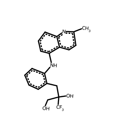 Cc1ccc2c(Nc3ccccc3CC(O)(CO)C(F)(F)F)cccc2n1